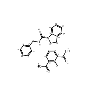 Cc1c(C(=O)O)cccc1C(=O)O.O=C(OCc1ccccc1)N1CCc2ccccc21